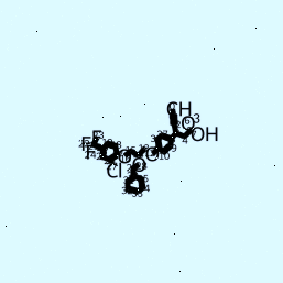 CC#CC(CC(=O)O)c1ccc(OCC(COc2ccc(C(F)(F)F)cc2Cl)OCc2ccccc2)cc1